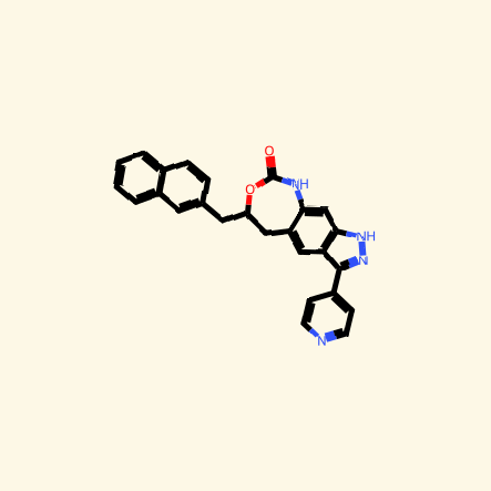 O=C1Nc2cc3[nH]nc(-c4ccncc4)c3cc2CC(Cc2ccc3ccccc3c2)O1